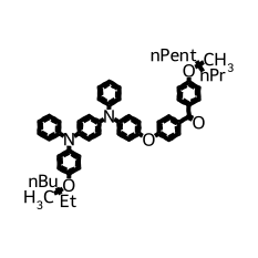 CCCCCC(C)(CCC)Oc1ccc(C(=O)c2ccc(Oc3ccc(N(c4ccccc4)c4ccc(N(c5ccccc5)c5ccc(OC(C)(CC)CCCC)cc5)cc4)cc3)cc2)cc1